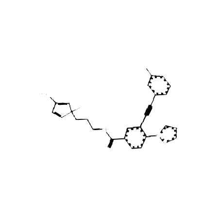 CC1=CC(C)(CCCNC(=O)c2ccc(-n3cccn3)c(C#Cc3cccc(O)c3)c2)C=C1